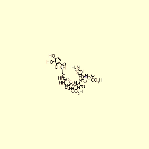 CC(C)(O/N=C(\C(=O)NC1C(=O)N2CC(C(=O)O)(N3CCN(NC(=O)NOCCNC(=O)c4ccc(O)c(O)c4Cl)C3=O)S[C@H]12)c1csc(N)n1)C(=O)O